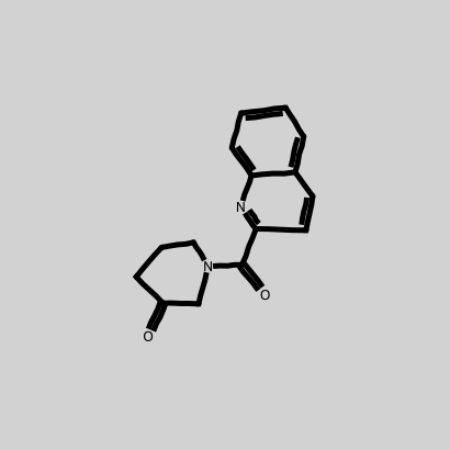 O=C1CCCN(C(=O)c2ccc3ccccc3n2)C1